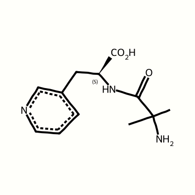 CC(C)(N)C(=O)N[C@@H](Cc1cccnc1)C(=O)O